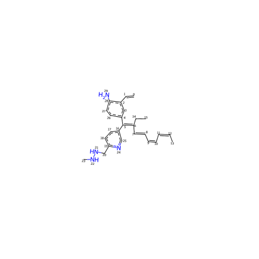 C=Cc1cc(/C(=C(/C=C/C=C\C=C/C)CC)c2ccc(CNNC)nc2)ccc1N